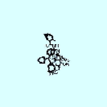 COC1(OC)[C@H](O)[C@@H](CO)O[C@]1(n1ccc(NC(=O)c2ccccc2C)nc1=O)C(c1ccccc1)(c1ccccc1)c1ccccc1